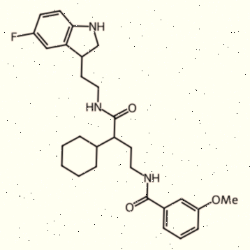 COc1cccc(C(=O)NCCC(C(=O)NCCC2CNc3ccc(F)cc32)C2CCCCC2)c1